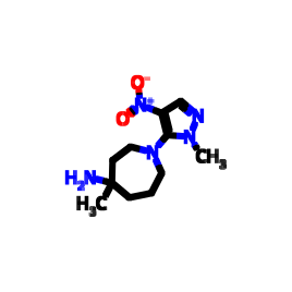 Cn1ncc([N+](=O)[O-])c1N1CCCC(C)(N)CC1